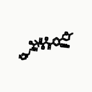 COc1cc(NC(=O)C(=O)NC(C)(C)C(=O)NCCn2ccnc2)ccc1C1=CC=C(C)OC1